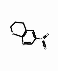 O=[SH](=O)c1cnc2c(c1)CCCO2